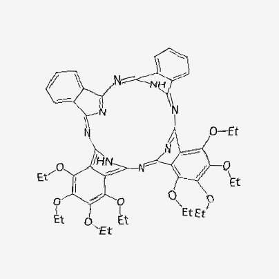 CCOc1c(OCC)c(OCC)c2c(c1OCC)-c1nc-2nc2[nH]c(nc3nc(nc4[nH]c(n1)c1ccccc41)-c1ccccc1-3)c1c(OCC)c(OCC)c(OCC)c(OCC)c21